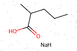 CCCC(C)C(=O)O.[NaH]